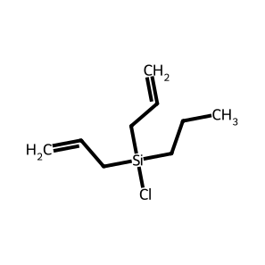 C=CC[Si](Cl)(CC=C)CCC